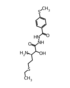 CCSCC[C@@H](N)C(O)C(=O)NNC(=O)c1ccc(SC)cc1